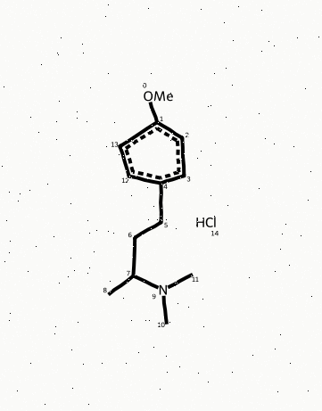 COc1ccc(CCC(C)N(C)C)cc1.Cl